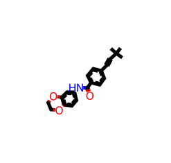 CC(C)(C)C#Cc1ccc(C(=O)Nc2ccc3c(c2)OCCO3)cc1